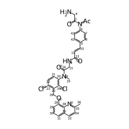 CC(=O)N(C(=O)CN)c1ccc(C=CC(=O)NCC(=O)N(C)c2ccc(Cl)c(COc3cccc4ccc(C)nc34)c2Cl)cc1